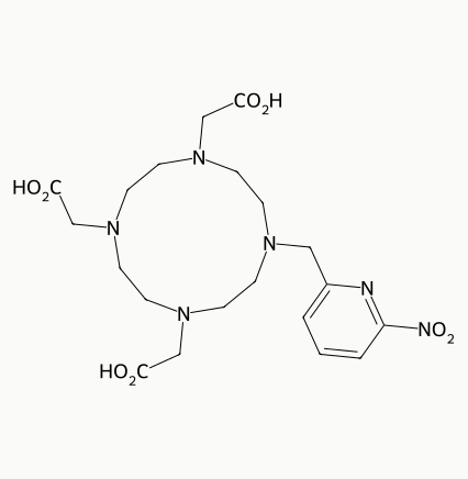 O=C(O)CN1CCN(CC(=O)O)CCN(Cc2cccc([N+](=O)[O-])n2)CCN(CC(=O)O)CC1